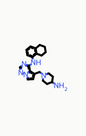 NC1CCN(Cc2ccn3ncnc(Nc4cccc5c4CCCC5)c23)CC1